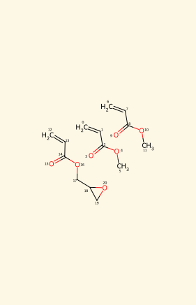 C=CC(=O)OC.C=CC(=O)OC.C=CC(=O)OCC1CO1